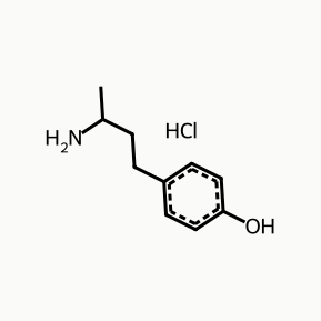 CC(N)CCc1ccc(O)cc1.Cl